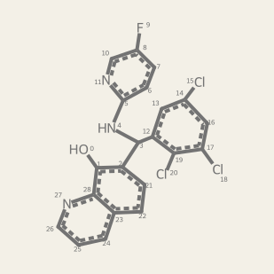 Oc1c(C(Nc2ccc(F)cn2)c2cc(Cl)cc(Cl)c2Cl)ccc2cccnc12